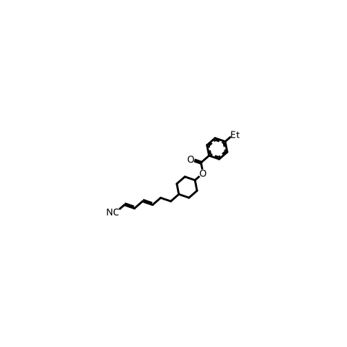 CCc1ccc(C(=O)OC2CCC(CCC=CC=CC#N)CC2)cc1